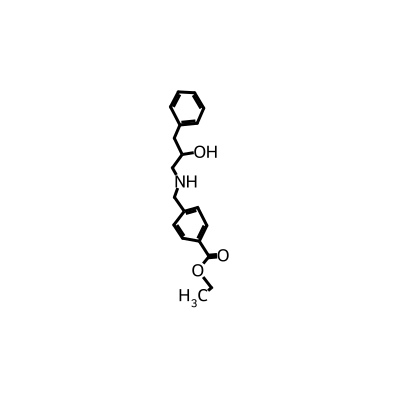 CCOC(=O)c1ccc(CNCC(O)Cc2ccccc2)cc1